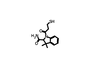 CC1(C)c2ccccc2N(C(=O)CCS)C1C(N)=O